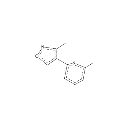 Cc1cccc(-c2conc2C)n1